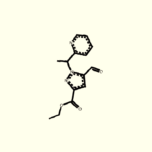 CCOC(=O)c1cc(C=O)n(C(C)c2ccccn2)n1